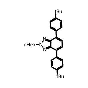 CCCCCCn1nc2c(-c3ccc(C(C)(C)C)cc3)ccc(-c3ccc(C(C)(C)C)cc3)c2n1